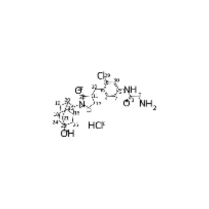 Cl.NCC(=O)Nc1ccc(CC2CCN(C3C4CC5CC3CC(O)(C5)C4)C2=O)c(Cl)c1